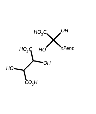 CCCCCC(O)(O)C(=O)O.O=C(O)C(O)C(O)C(=O)O